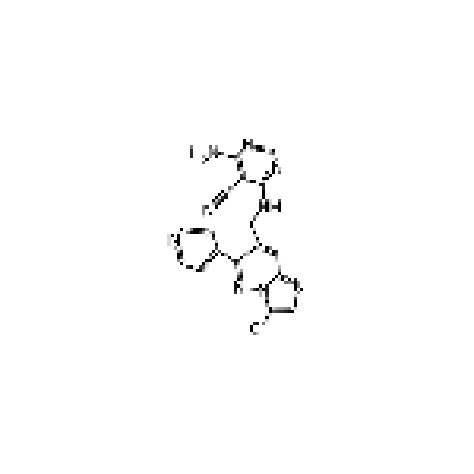 N#Cc1c(N)ncnc1NCc1cc2ncc(Cl)n2nc1-c1ccncc1